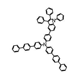 c1ccc(-c2ccc(-c3ccc(N(c4ccc(-c5ccc(-c6ccccc6)cc5)cc4)c4ccc(-c5ccc6c(c5)c(-c5ccccc5)c(-c5ccccc5)n6-c5ccccc5)cc4)cc3)cc2)cc1